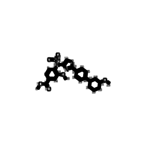 COC(=O)c1ccc(N(c2csc(-c3ccc(C4CCCC(OC)C4)cc3)n2)[SH](=O)=O)c(OC)c1